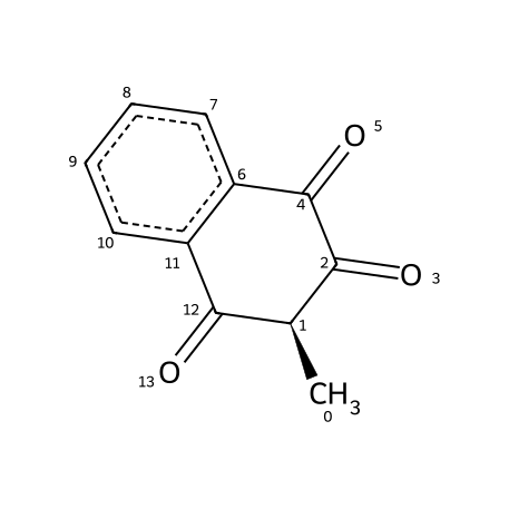 C[C@@H]1C(=O)C(=O)c2ccccc2C1=O